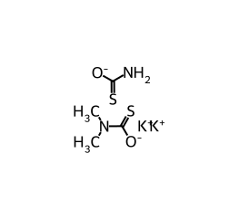 CN(C)C([O-])=S.NC([O-])=S.[K+].[K+]